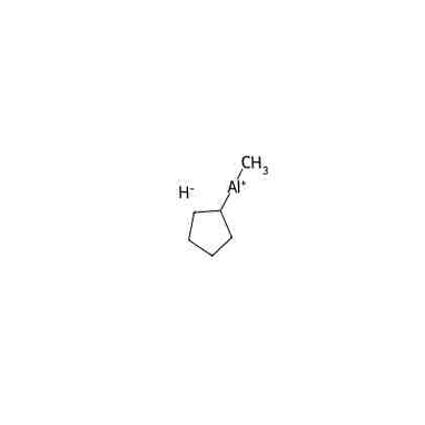 [CH3][Al+][CH]1CCCC1.[H-]